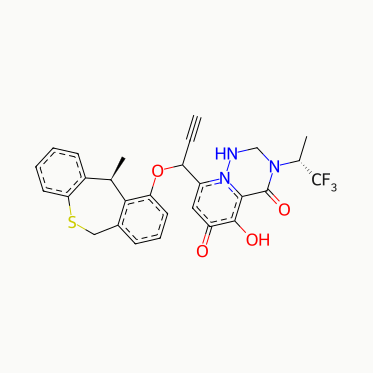 C#CC(Oc1cccc2c1[C@H](C)c1ccccc1SC2)c1cc(=O)c(O)c2n1NCN([C@H](C)C(F)(F)F)C2=O